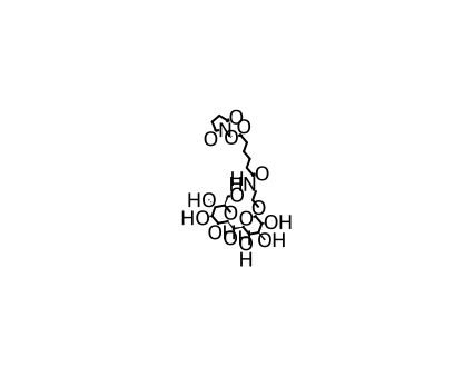 O=C(CCCCC(=O)ON1C(=O)CCC1=O)NCCO[C@@H]1O[C@H](C(O)[C@@H]2O[C@H](CO)[C@@H](O)[C@H](O)[C@@H]2O)[C@@H](O)[C@H](O)[C@@H]1O